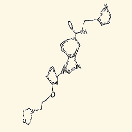 O=C(NCc1cccnc1)c1ccc2c(c1)ncn2-c1cccc(OCCN2CCOCC2)c1